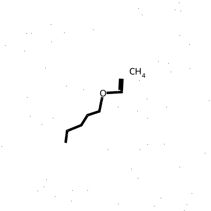 C.C=COCCCCC